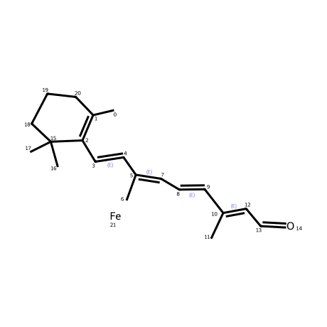 CC1=C(/C=C/C(C)=C/C=C/C(C)=C/C=O)C(C)(C)CCC1.[Fe]